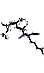 C=C\C(CCCCC)=C(C)/C(C)=C/C(N)=C\N(C)CNC